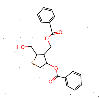 O=C(OCC1C(OC(=O)c2ccccc2)CSC1CO)c1ccccc1